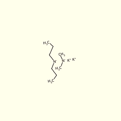 CCC[N-]CCC.C[N-]C.[K+].[K+]